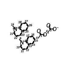 CC(=O)[O-].CC(=O)[O-].C[n+]1cccc2ccccc21.C[n+]1cccc2ccccc21